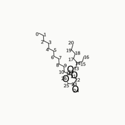 CCCCCCCCCCCC1(OCC(CC)CCCC)OCC(=O)CO1